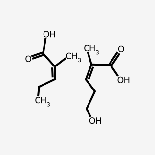 CC(=CCCO)C(=O)O.CCC=C(C)C(=O)O